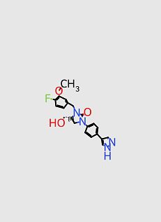 COc1cc(CN2C(=O)N(c3ccc(-c4cn[nH]c4)cc3)C[C@@H]2CO)ccc1F